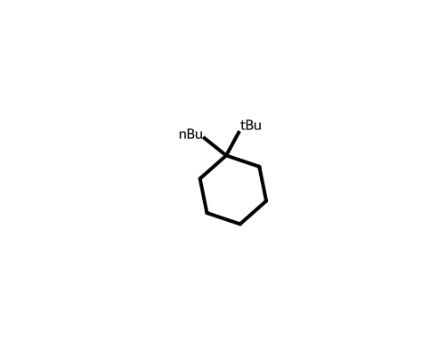 CCCCC1(C(C)(C)C)CCCCC1